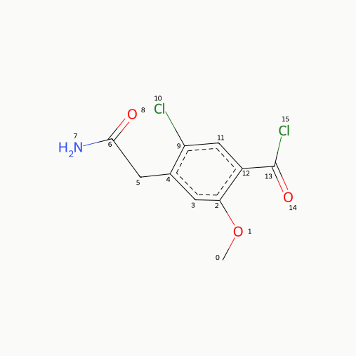 COc1cc(CC(N)=O)c(Cl)cc1C(=O)Cl